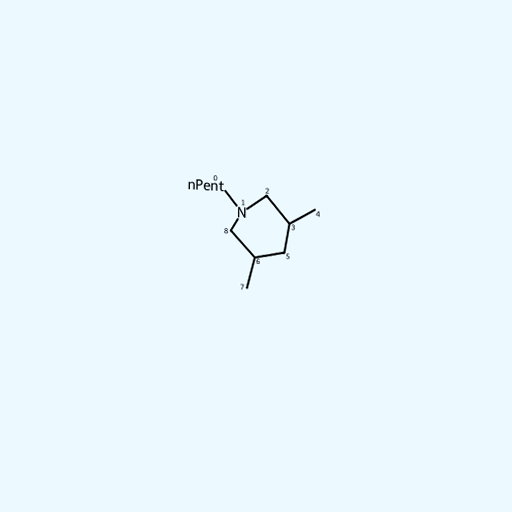 CCCCCN1CC(C)CC(C)C1